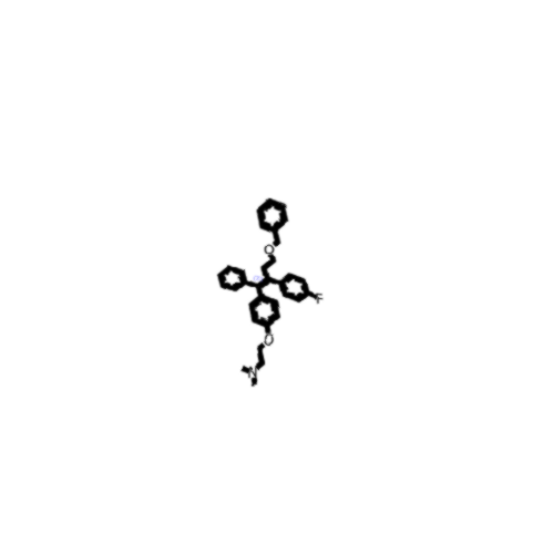 CN(C)CCOc1ccc(/C(=C(/CCOCc2ccccc2)c2ccc(F)cc2)c2ccccc2)cc1